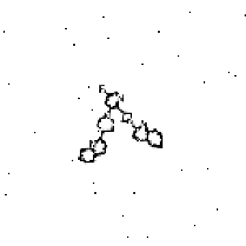 Fc1cnc(C2CN(c3ccc4ccccc4n3)C2)c(N2CCC(c3ccc4ccccc4n3)CC2)c1